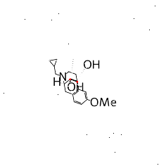 COc1ccc2c(c1)C13CCN(CC4CC4)[C@H](C2)[C@]1(O)C[C@H](C)[C@H](O)C3